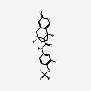 O=C(Nc1ccc(OC(F)(F)F)c(Cl)c1)C1[C@H]2CC[C@H]1c1c[nH]c(=O)cc1C2